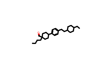 CCCCC1(C=O)CCC(c2ccc(CCC3CCC(CC)CC3)cc2)CC1